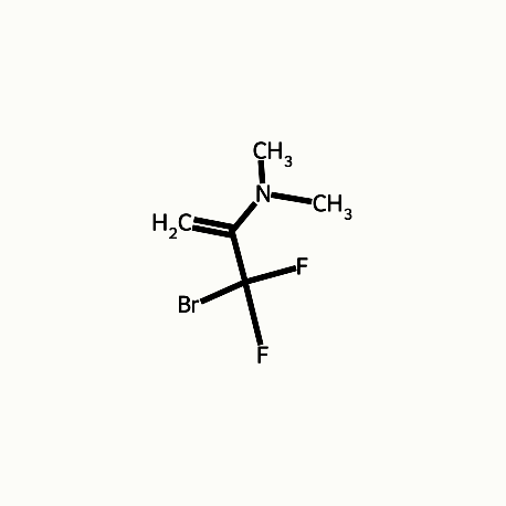 C=C(N(C)C)C(F)(F)Br